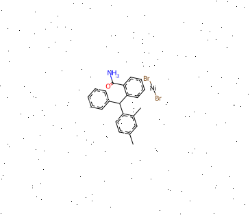 Cc1ccc(C(c2ccccc2)c2ccccc2C(N)=O)c(C)c1.[Br][Ni][Br]